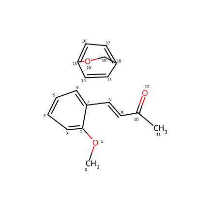 COc1ccccc1C=CC(C)=O.c1cc2ccc1CO2